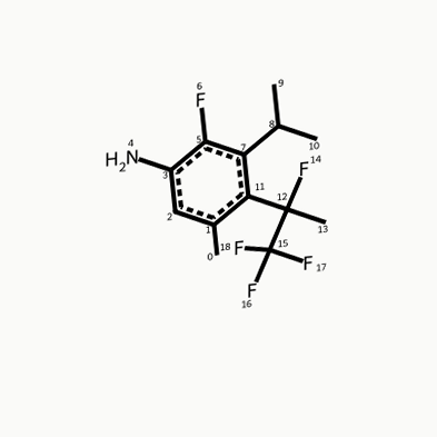 Cc1cc(N)c(F)c(C(C)C)c1C(C)(F)C(F)(F)F